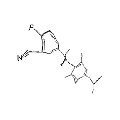 Cc1cc(C(C)C)cc(C)c1C(C)(C)c1ccc(F)c(C#N)c1